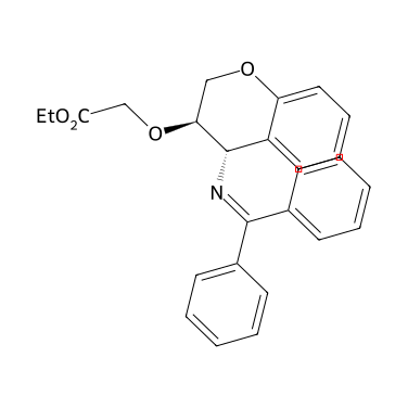 CCOC(=O)CO[C@H]1COc2ccccc2[C@@H]1N=C(c1ccccc1)c1ccccc1